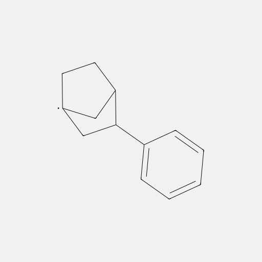 c1ccc(C2C[C]3CCC2C3)cc1